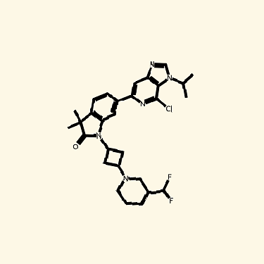 CC(C)n1cnc2cc(-c3ccc4c(c3)N(C3CC(N5CCCC(C(F)F)C5)C3)C(=O)C4(C)C)nc(Cl)c21